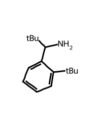 CC(C)(C)c1ccccc1C(N)C(C)(C)C